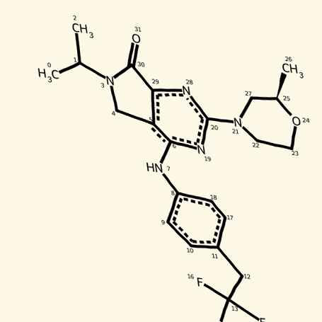 CC(C)N1Cc2c(Nc3ccc(CC(F)(F)F)cc3)nc(N3CCO[C@H](C)C3)nc2C1=O